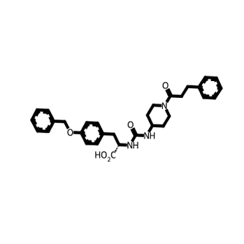 O=C(NC1CCN(C(=O)CCc2ccccc2)CC1)N[C@@H](Cc1ccc(OCc2ccccc2)cc1)C(=O)O